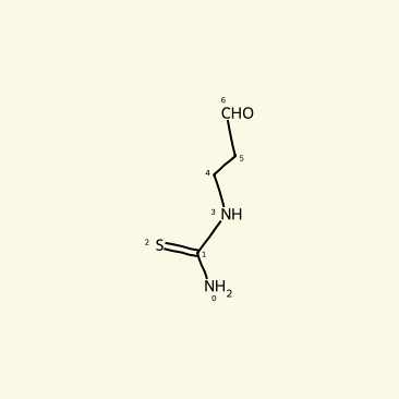 NC(=S)NCCC=O